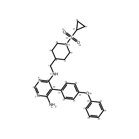 Nc1ncnc(NCC2CCN(S(=O)(=O)C3CC3)CC2)c1-c1ccc(Oc2ccccc2)cc1